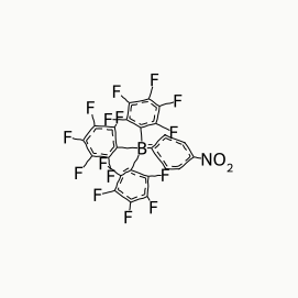 O=[N+]([O-])c1ccc([B-](c2c(F)c(F)c(F)c(F)c2F)(c2c(F)c(F)c(F)c(F)c2F)c2c(F)c(F)c(F)c(F)c2F)cc1